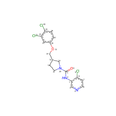 O=C(Nc1cnccc1Cl)N1CCC(COc2ccc(Cl)c(Cl)c2)C1